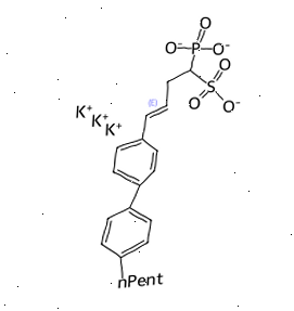 CCCCCc1ccc(-c2ccc(/C=C/CC(P(=O)([O-])[O-])S(=O)(=O)[O-])cc2)cc1.[K+].[K+].[K+]